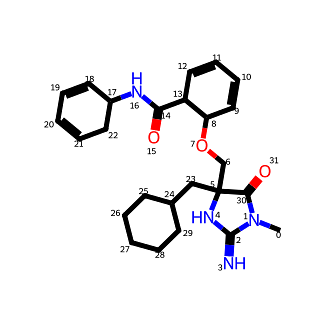 CN1C(=N)NC(COC2C=CC=CC2C(=O)NC2C=CC=CC2)(CC2CCCCC2)C1=O